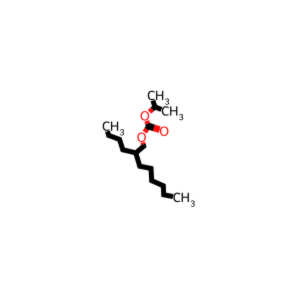 CCCCCCC(CCCC)COC(=O)OC(C)C